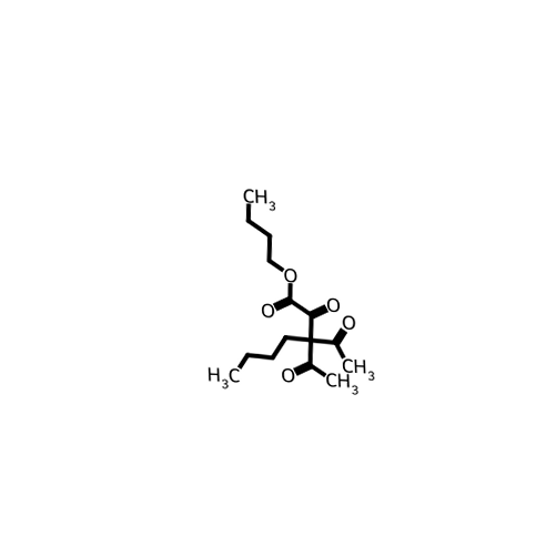 CCCCOC(=O)C(=O)C(CCCC)(C(C)=O)C(C)=O